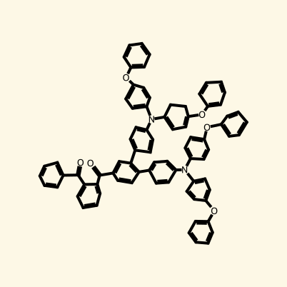 O=C(c1ccccc1)c1ccccc1C(=O)c1ccc(-c2ccc(N(c3ccc(Oc4ccccc4)cc3)c3ccc(Oc4ccccc4)cc3)cc2)c(-c2ccc(N(C3=CC=C(Oc4ccccc4)CC3)c3ccc(Oc4ccccc4)cc3)cc2)c1